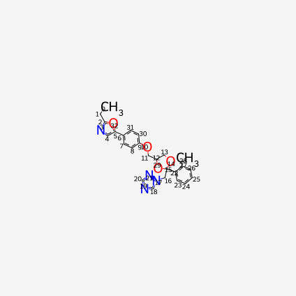 CCc1ncc(-c2ccc(OCC3COC(Cn4cncn4)(c4ccccc4C)O3)cc2)o1